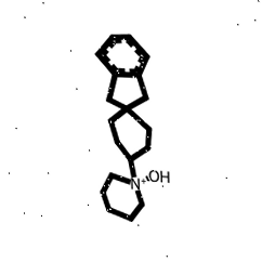 O[N+]1(C2CCC3(CC2)Cc2ccccc2C3)CCCCC1